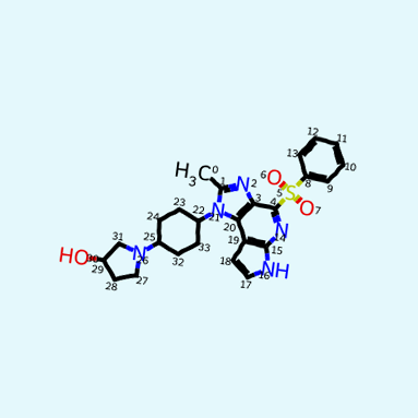 Cc1nc2c(S(=O)(=O)c3ccccc3)nc3[nH]ccc3c2n1C1CCC(N2CCC(O)C2)CC1